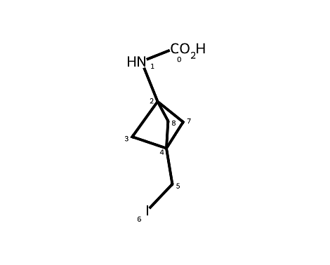 O=C(O)NC12CC(CI)(C1)C2